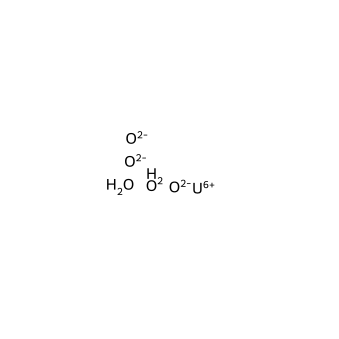 O.O.[O-2].[O-2].[O-2].[U+6]